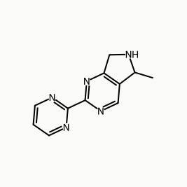 CC1NCc2nc(-c3ncccn3)ncc21